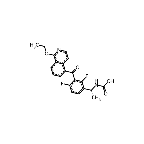 CCOc1nccc2c(C(=O)c3c(F)ccc([C@@H](C)NC(=O)O)c3F)cccc12